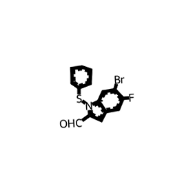 O=Cc1cc2cc(F)c(Br)cc2n1Sc1ccccc1